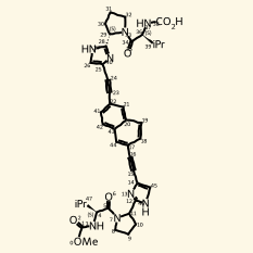 COC(=O)N[C@H](C(=O)N1CCCC1c1nc(C#Cc2ccc3cc(C#Cc4c[nH]c([C@@H]5CCCN5C(=O)[C@@H](NC(=O)O)C(C)C)n4)ccc3c2)c[nH]1)C(C)C